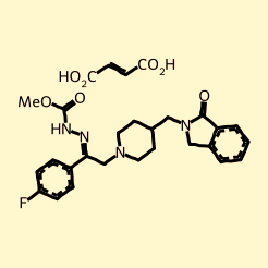 COC(=O)NN=C(CN1CCC(CN2Cc3ccccc3C2=O)CC1)c1ccc(F)cc1.O=C(O)C=CC(=O)O